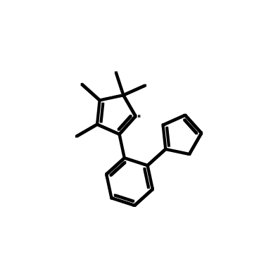 CC1=C(C)C(C)(C)[C]=C1c1ccccc1C1=CC=CC1